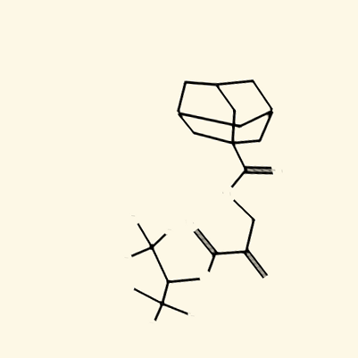 C=C(COC(=O)C12CC3CC(CC(C3)C1)C2)C(=O)OC(C(F)(F)F)C(F)(F)F